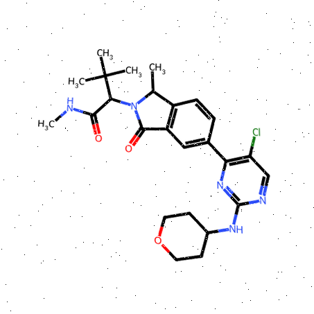 CNC(=O)C(N1C(=O)c2cc(-c3nc(NC4CCOCC4)ncc3Cl)ccc2C1C)C(C)(C)C